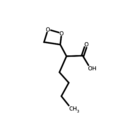 CCCCC(C(=O)O)C1COO1